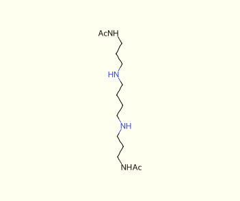 CC(=O)NCCCNCCCCNCCCNC(C)=O